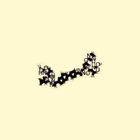 COC(=O)N[C@H](C(=O)N1C[C@@H](Oc2cnccn2)C[C@H]1c1ncc(-c2ccc(-c3ccc4cc(-c5cnc([C@@H]6CC7(CC7)CN6C(=O)[C@@H](NC(=O)OC)C(C)C)[nH]5)ccc4c3)cc2)[nH]1)C(C)C